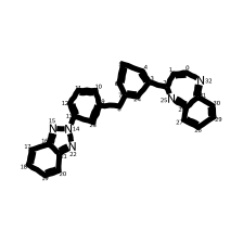 C1=CC(c2cccc(Cc3cccc(-n4nc5ccccc5n4)c3)c2)N=c2ccccc2=N1